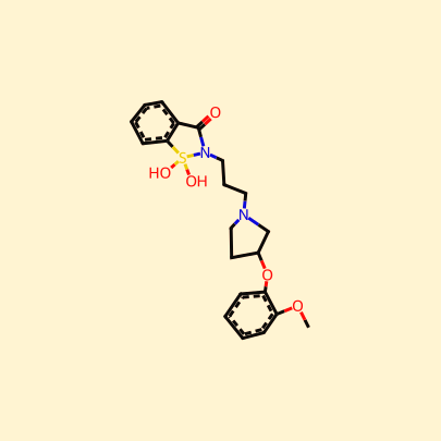 COc1ccccc1OC1CCN(CCCN2C(=O)c3ccccc3S2(O)O)C1